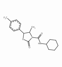 CC1C(c2ccc(C(F)(F)F)cc2)OC(=O)N1C(=O)NC1CCCCC1